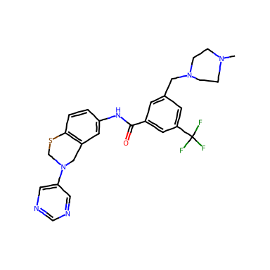 CN1CCN(Cc2cc(C(=O)Nc3ccc4c(c3)CN(c3cncnc3)CS4)cc(C(F)(F)F)c2)CC1